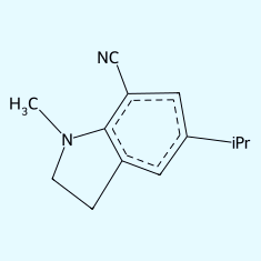 CC(C)c1cc(C#N)c2c(c1)CCN2C